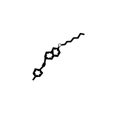 CCCCCCCOc1ccc2cc(C#Cc3ccc(C)cc3)ccc2c1